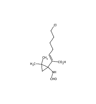 CC1(C)CC1(NC=O)C(=CCCCCCl)C(=O)O